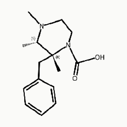 C[C@@H]1N(C)CCN(C(=O)O)[C@]1(C)Cc1ccccc1